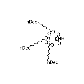 CCCCCCCCCCCCCCCCCC(=O)OCC(COC(=O)CCCCCCCCCCCCCCCCC)OC(=O)CCCCCCCCCCCCCCCCC.O=C1C=CC(=O)N1